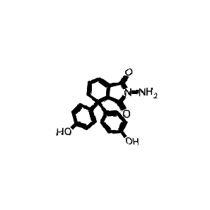 NN1C(=O)C2=CC=CC(c3ccc(O)cc3)(c3ccc(O)cc3)C2C1=O